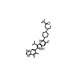 CCN(CC(=O)N(C)C)C1CCC(c2nc3c(C(C)C)c(-c4cn5ncnc5c(C)c4C)[nH]c3cc2F)CC1